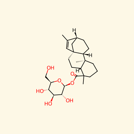 CC1=C[C@]23CC[C@H]4C(C)(C(=O)O[C@@H]5O[C@H](CO)[C@@H](O)[C@H](O)[C@H]5O)CCC[C@]4(C)[C@H]2CC[C@@H]1C3